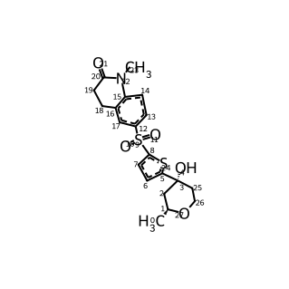 C[C@H]1C[C@@](O)(c2ccc(S(=O)(=O)c3ccc4c(c3)CCC(=O)N4C)s2)CCO1